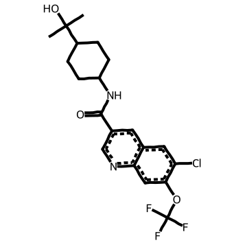 CC(C)(O)C1CCC(NC(=O)c2cnc3cc(OC(F)(F)F)c(Cl)cc3c2)CC1